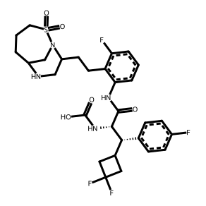 O=C(O)N[C@H](C(=O)Nc1cccc(F)c1CCC1CNC2CCCS(=O)(=O)N1C2)[C@H](c1ccc(F)cc1)C1CC(F)(F)C1